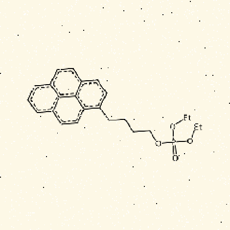 CCOP(=O)(OCC)OCCCCc1ccc2ccc3cccc4ccc1c2c34